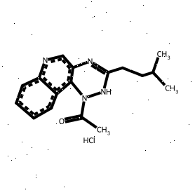 CC(=O)N1NC(CCC(C)C)=Nc2cnc3ccccc3c21.Cl